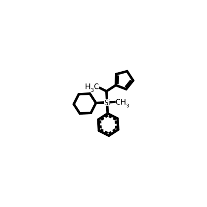 CC(C1=CCC=C1)[Si](C)(c1ccccc1)C1CCCCC1